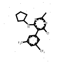 Cc1nc(Cl)c(-c2cc(C(F)(F)F)cc(C(F)(F)F)c2)c(NC2CCCC2)n1